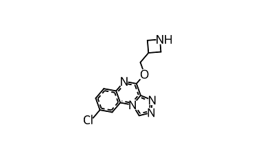 Clc1ccc2nc(OCC3CNC3)c3nncn3c2c1